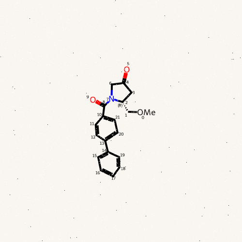 COC[C@H]1CC(=O)CN1C(=O)c1ccc(-c2ccccc2)cc1